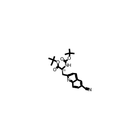 CC(C)(C)OC(=O)N[C@@H](Cc1ccc2cc(C#N)ccc2n1)C(=O)OC(C)(C)C